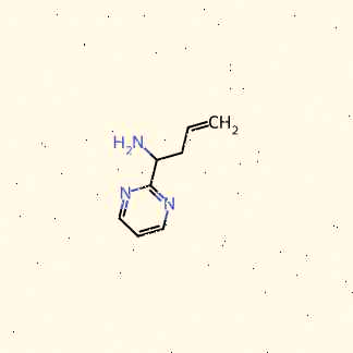 C=CCC(N)c1ncccn1